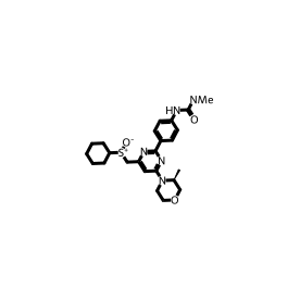 CNC(=O)Nc1ccc(-c2nc(C[S+]([O-])C3CCCCC3)cc(N3CCOC[C@@H]3C)n2)cc1